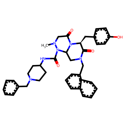 CN1CC(=O)N2C(CN(Cc3cccc4ccccc34)C(=O)[C@@H]2Cc2ccc(O)cc2)N1C(=O)NC1CCN(Cc2ccccc2)CC1